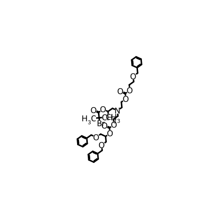 CC(CN(CCOC(=O)OCCOCc1ccccc1)CCOC(=O)OC(COCc1ccccc1)COCc1ccccc1)OC(=O)C(C)(C)Br